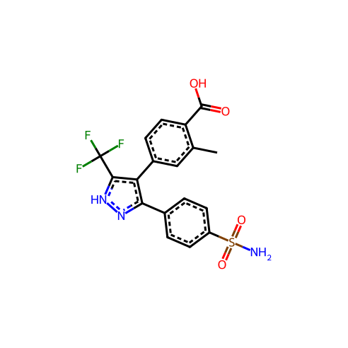 Cc1cc(-c2c(-c3ccc(S(N)(=O)=O)cc3)n[nH]c2C(F)(F)F)ccc1C(=O)O